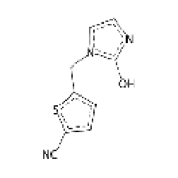 N#Cc1ccc(Cn2ccnc2O)s1